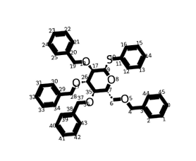 c1ccc(COC[C@H]2O[C@@H](Sc3ccccc3)[C@H](OCc3ccccc3)[C@@H](OCc3ccccc3)[C@H]2OCc2ccccc2)cc1